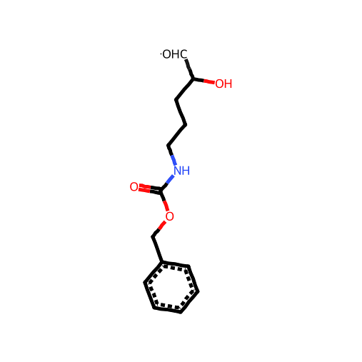 O=[C]C(O)CCCNC(=O)OCc1ccccc1